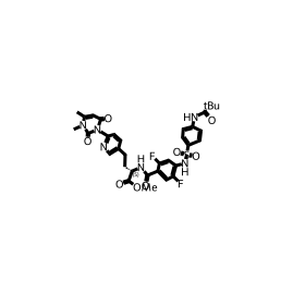 COC(=O)[C@H](CCc1ccc(-n2c(=O)cc(C)n(C)c2=O)nc1)NC(=O)c1cc(F)c(NS(=O)(=O)c2ccc(NC(=O)C(C)(C)C)cc2)cc1F